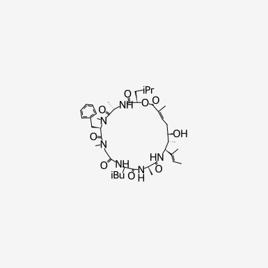 C/C=C(\C)[C@H]1NC(=O)[C@@H](C)NC(=O)C(C(C)CC)NC(=O)CN(C)C(=O)[C@@H](Cc2ccccc2)N(C)C(=O)[C@H](C)NC(=O)[C@@H](CC(C)C)OC(=O)/C(C)=C/C[C@@H](O)[C@@H]1C